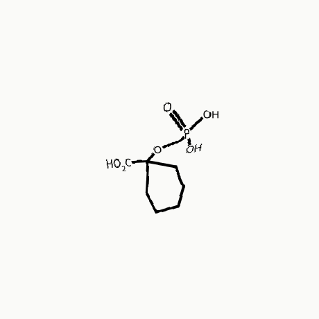 O=C(O)C1(OP(=O)(O)O)CCCCC1